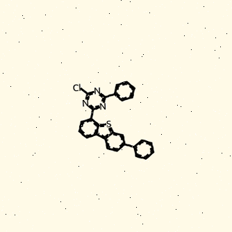 Clc1nc(-c2ccccc2)nc(-c2cccc3c2sc2cc(-c4ccccc4)ccc23)n1